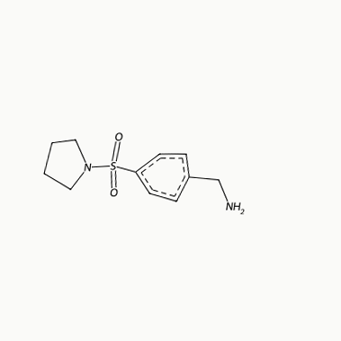 NCc1ccc(S(=O)(=O)N2CCCC2)cc1